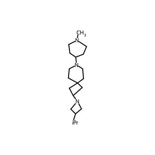 CC(C)C1CN(C2CC3(CCN(C4CCN(C)CC4)CC3)C2)C1